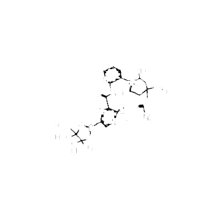 CC1(OC(N)=O)CCN(c2cccnc2NC(=O)c2nc(B3OC(C)(C)C(C)(C)O3)cnc2N)C(C(C)(C)C)C1